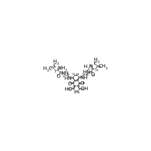 CC(C)C[C@@H](N)C(=O)NCCNc1ccc(NCCNC(=O)[C@H](N)CC(C)C)c2c1C(=O)c1c(O)ccc(O)c1C2=O